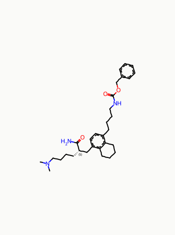 CN(C)CCCC[C@@H](Cc1ccc(CCCCNC(=O)OCc2ccccc2)c2c1CCCC2)C(N)=O